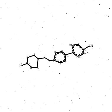 CCC1CCC(CCc2ccc(-c3ncc(C#N)cn3)cc2)CC1